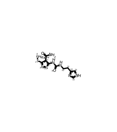 CCCCCCSc1nsc(NC(=O)NCCc2c[nH]cn2)c1C(N)=O